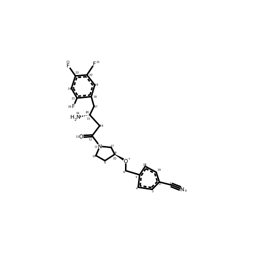 N#Cc1ccc(CO[C@H]2CCN(C(=O)C[C@H](N)Cc3cc(F)c(F)cc3F)C2)cc1